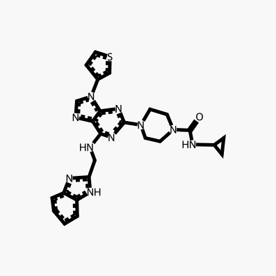 O=C(NC1CC1)N1CCN(c2nc(NCc3nc4ccccc4[nH]3)c3ncn(-c4ccsc4)c3n2)CC1